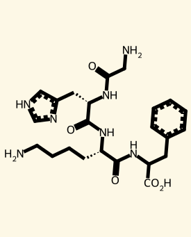 NCCCC[C@H](NC(=O)[C@H](Cc1c[nH]cn1)NC(=O)CN)C(=O)NC(Cc1ccccc1)C(=O)O